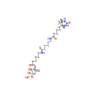 O=C(CCCCCNC(=O)CCCCC1SC[C@@H]2NC(=O)N[C@H]12)NCCCCCC(=O)ON1C(=O)CC(S(=O)(=O)O)C1=O